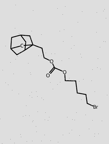 O=C(OCCCCCBr)OCCC12CC3CC(CC1C3)C2